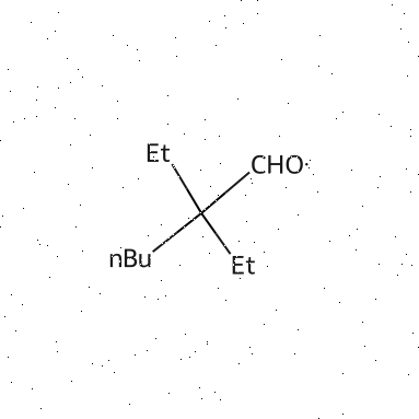 CCCCC([C]=O)(CC)CC